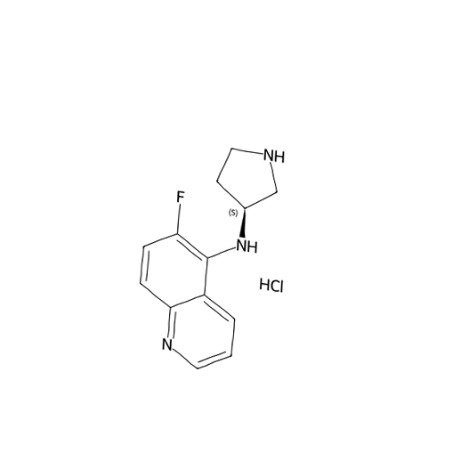 Cl.Fc1ccc2ncccc2c1N[C@H]1CCNC1